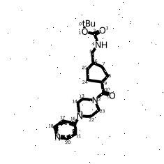 CC(C)(C)OC(=O)NCC1CCC(C(=O)N2CCN(c3ccncc3)CC2)CC1